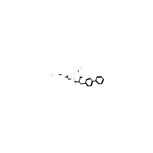 CCOC(=O)CNC(=O)C(Cc1ccc(-c2ccccc2)cc1)C(=O)OCC